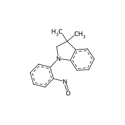 CC1(C)CN(c2ccccc2N=O)c2ccccc21